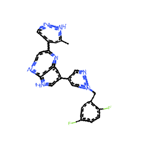 Cc1[nH]ncc1-c1cnc2[nH]cc(-c3cnn(Cc4cc(F)ccc4F)c3)c2n1